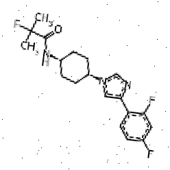 CC(C)(F)C(=O)N[C@H]1CC[C@@H](n2cnc(-c3ccc(F)cc3F)c2)CC1